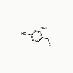 Oc1ccc(SCl)cc1.[NaH]